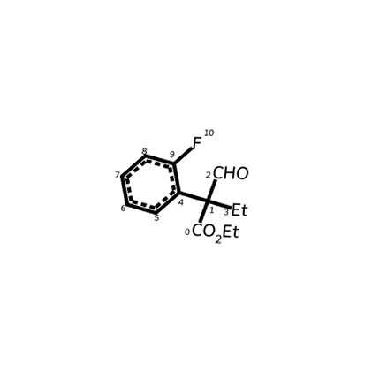 CCOC(=O)C(C=O)(CC)c1ccccc1F